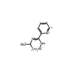 CC(/N=C(\NC#N)c1ccccn1)C(C)(C)C